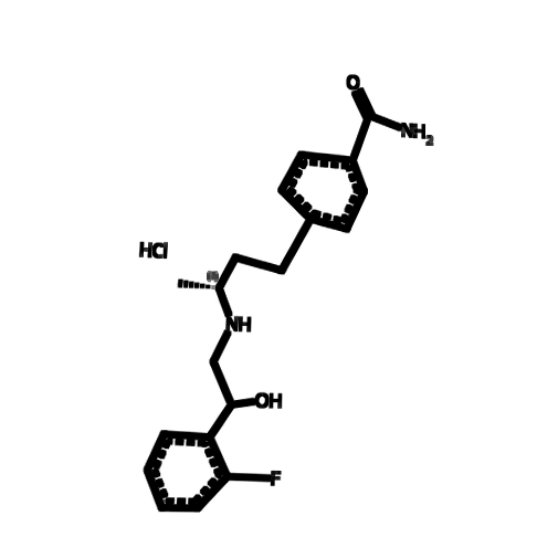 C[C@H](CCc1ccc(C(N)=O)cc1)NCC(O)c1ccccc1F.Cl